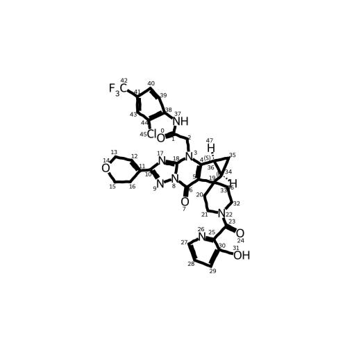 O=C(Cn1c2c(c(=O)n3nc(C4=CCOCC4)nc13)C1(CCN(C(=O)c3ncccc3O)CC1)[C@@H]1C[C@H]21)Nc1ccc(C(F)(F)F)cc1Cl